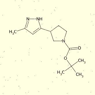 Cc1cc(C2CCN(C(=O)OC(C)(C)C)C2)[nH]n1